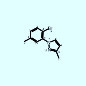 Cc1ccc(Br)c(-n2ccc(C)n2)c1